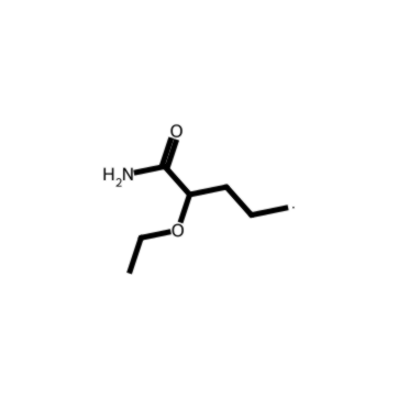 [CH2]CCC(OCC)C(N)=O